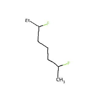 CCC(F)CCCC(C)F